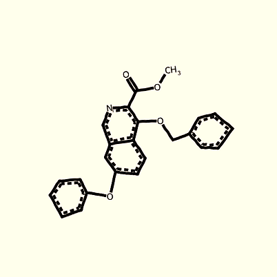 COC(=O)c1ncc2cc(Oc3ccccc3)ccc2c1OCc1ccccc1